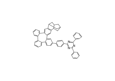 c1ccc(-c2nc(-c3ccccc3)nc(-c3ccc(-c4ccc5c(c4)-c4cc6c(cc4-c4ccccc4-c4ccccc4-5)C4CC5CC(C4)C6C5)cc3)n2)cc1